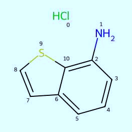 Cl.Nc1cccc2ccsc12